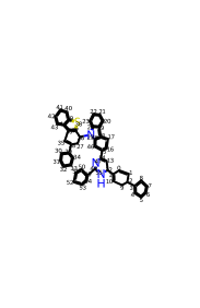 C1=CC(c2ccccc2)CC=C1C1C=C(c2ccc3c4ccccc4n(C4CC(c5ccccc5)=Cc5c4sc4ccccc54)c3c2)N=C(c2ccccc2)N1